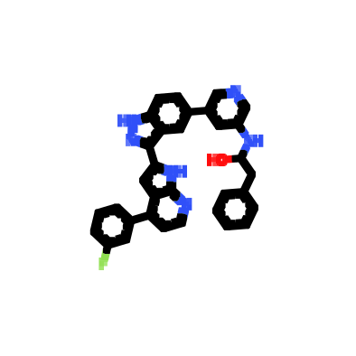 OC(Cc1ccccc1)Nc1cncc(-c2ccc3[nH]nc(-c4cc5c(-c6cccc(F)c6)ccnc5[nH]4)c3c2)c1